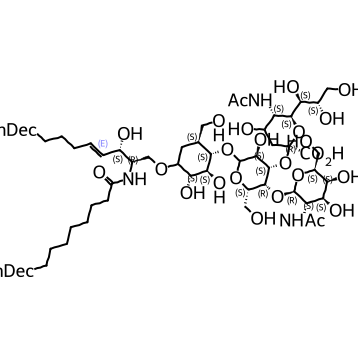 CCCCCCCCCCCCC/C=C/[C@H](O)[C@@H](COC1C[C@@H](CO)[C@H](OC2O[C@@H](CO)[C@@H](O[C@H]3O[C@@H](CO)[C@@H](O)[C@@H](O)[C@@H]3NC(C)=O)[C@@H](O[C@@]3(C(=O)O)CC(O)[C@H](NC(C)=O)[C@@H]([C@@H](O)[C@@H](O)CO)O3)[C@@H]2O)[C@@H](O)[C@@H]1O)NC(=O)CCCCCCCCCCCCCCCCC